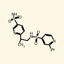 CC(C)c1cc(S(=O)(=O)NCC(C)c2ccc(S(N)(=O)=O)cn2)ccn1